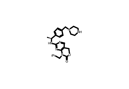 CC(C)CN1C(=O)OCc2cnc(N[C@@H](C)c3ccc(CN4CCNCC4)cc3)nc21